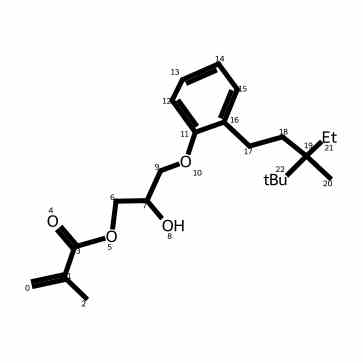 C=C(C)C(=O)OCC(O)COc1ccccc1CCC(C)(CC)C(C)(C)C